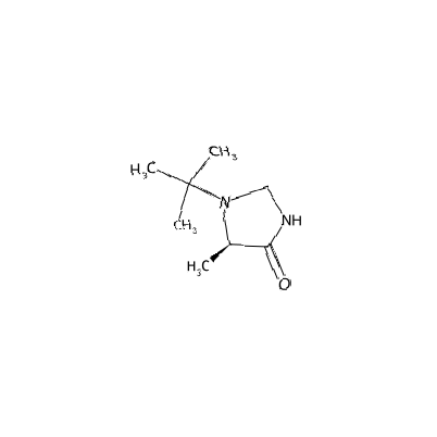 C[C@@H]1C(=O)NCN1C(C)(C)C